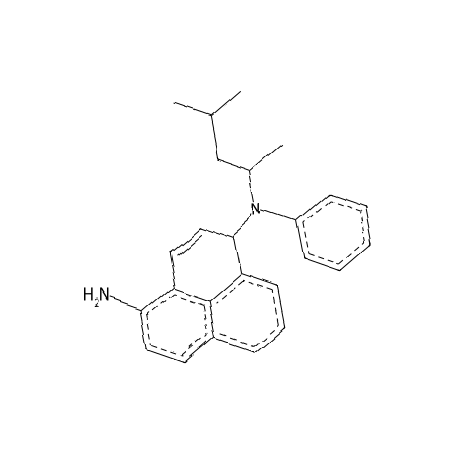 CC(C)CC(C)N(c1ccccc1)C1C=Cc2c(N)ccc3cccc1c23